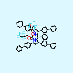 FC(F)(F)C(F)(F)COB(OCC(F)(F)C(F)(F)F)n1c(-c2ccc(-c3ccccc3)cc2)cc(-c2ccc(-c3ccccc3)cc2)c1/C(=C1\N=C(c2ccc(-c3ccccc3)cc2)C=C1c1ccc(-c2ccccc2)cc1)c1ccccc1